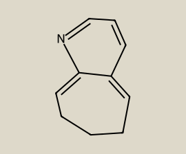 C1=c2cccnc2=CCCC1